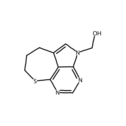 OCn1cc2c3c(ncnc31)SCCC2